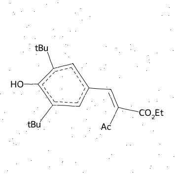 CCOC(=O)/C(=C/c1cc(C(C)(C)C)c(O)c(C(C)(C)C)c1)C(C)=O